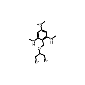 CNc1cc(NC)c(COC(CBr)CBr)c(NC)c1